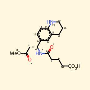 COC(=O)C[C@@H](NC(=O)CCCC(=O)O)c1ccc2c(c1)CCCN2